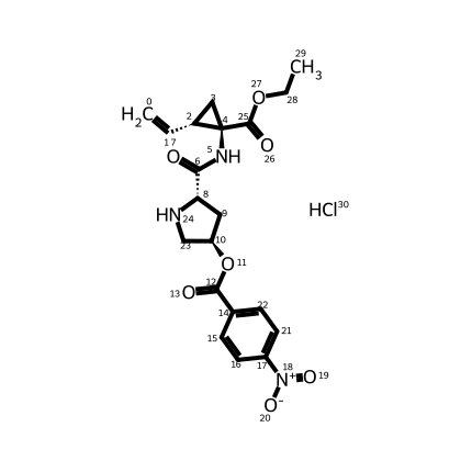 C=C[C@@H]1C[C@]1(NC(=O)[C@@H]1C[C@@H](OC(=O)c2ccc([N+](=O)[O-])cc2)CN1)C(=O)OCC.Cl